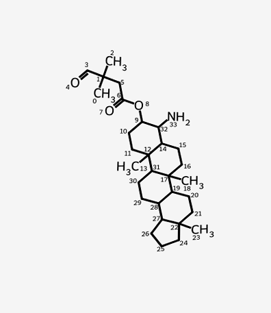 CC(C)(C=O)CC(=O)OC1CCC2(C)C(CCC3(C)C4CCC5(C)CCCC5C4CCC23)C1N